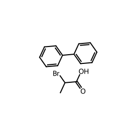 CC(Br)C(=O)O.c1ccc(-c2ccccc2)cc1